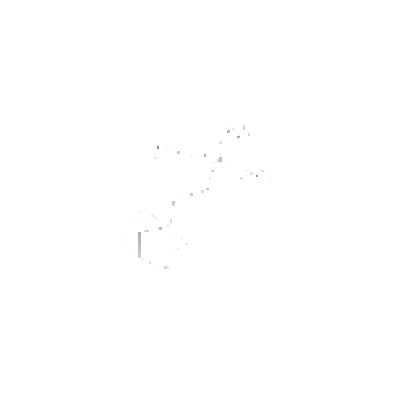 CO[Si](CCC12C=CC(CC1)C2)(OC)OC